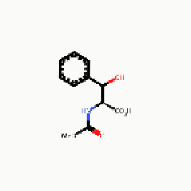 COC(=O)N[C@H](C(=O)O)C(O)c1ccccc1